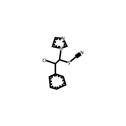 N#CSC(C(Cl)c1ccccc1)n1ccnc1